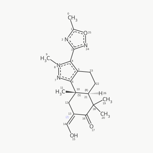 Cc1nc(-c2c3c(nn2C)[C@@]2(C)C/C(=C/O)C(=O)C(C)(C)[C@@H]2CC3)no1